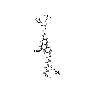 CCCCN(CCCC)CCCOc1ccc2c(c1)cc(OC)c1cc(OCCCN(CCCC)CCCC)ccc12